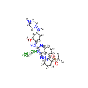 COc1cc(N(C)N2CCN(C)CC2)ccc1Nc1nc(N)c2c(-c3ccccc3S(=O)(=O)C(C)C)cccc2n1.Cl.Cl.Cl